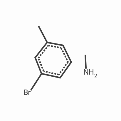 CN.Cc1cccc(Br)c1